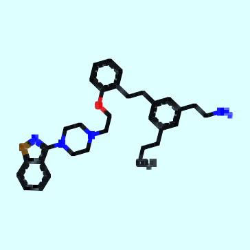 NCCc1cc(CCC(=O)O)cc(CCc2ccccc2OCCN2CCN(c3nsc4ccccc34)CC2)c1